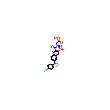 O=C(O)CNC(=O)c1nc2ccc(C(=O)c3ccc(F)cc3)cc2cc1O